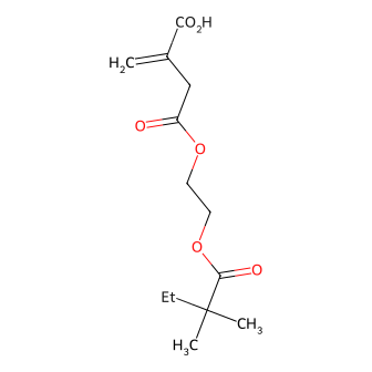 C=C(CC(=O)OCCOC(=O)C(C)(C)CC)C(=O)O